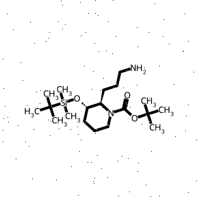 CC(C)(C)OC(=O)N1CCC[C@H](O[Si](C)(C)C(C)(C)C)[C@H]1CCCN